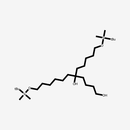 CC(C)(C)[Si](C)(C)OCCCCCCC(O)(CCCCO)CCCCCO[Si](C)(C)C(C)(C)C